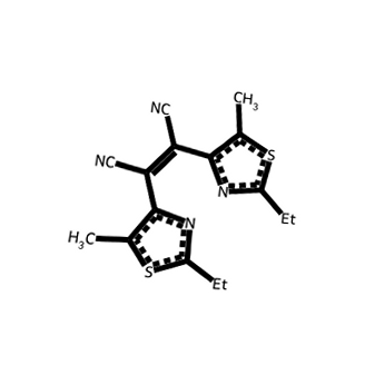 CCc1nc(C(C#N)=C(C#N)c2nc(CC)sc2C)c(C)s1